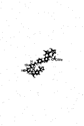 COC(=O)C[C@@H]1N=C(c2ccc(Nc3cccc(OCC(=O)NC(C(=O)N4C[C@H](O)C[C@H]4C(=O)NC(C)c4ccc(-c5scnc5C)cc4)C(C)(C)C)c3)cc2)c2c(sc(C)c2C)-n2c(C)nnc21